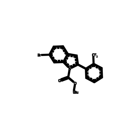 CC(C)(C)OC(=O)n1c(-c2ccccc2C(F)(F)F)cc2ccc(Br)cc21